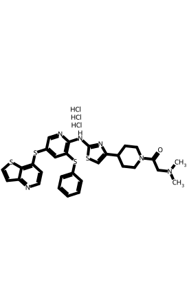 CN(C)CC(=O)N1CCC(c2csc(Nc3ncc(Sc4ccnc5ccsc45)cc3Sc3ccccc3)n2)CC1.Cl.Cl.Cl